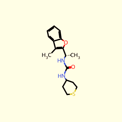 Cc1c([C@H](C)NC(=O)NC2CCSCC2)oc2ccccc12